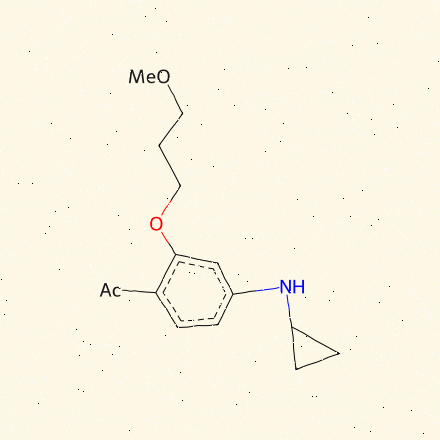 COCCCOc1cc(NC2CC2)ccc1C(C)=O